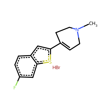 Br.CN1CC=C(c2cc3ccc(F)cc3s2)CC1